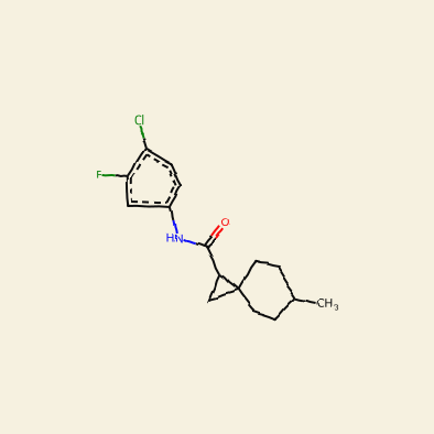 CC1CCC2(CC1)CC2C(=O)Nc1ccc(Cl)c(F)c1